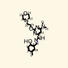 Cc1ccc(O)c(/C=N/Nc2cc(N(C)C)nc(OCCN3CCOCC3)n2)c1